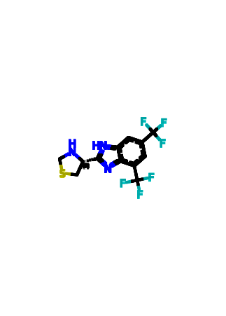 FC(F)(F)c1cc(C(F)(F)F)c2nc([C@@H]3CSCN3)[nH]c2c1